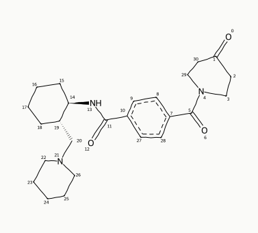 O=C1CCN(C(=O)c2ccc(C(=O)N[C@@H]3CCCC[C@H]3CN3CCCCC3)cc2)CC1